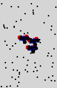 Cc1cc(-c2nc(C(=O)N3CCC3)cn2Cc2ccccc2)cn(C)c1=O.Cc1cc(-c2nc(C(=O)N3CCCC3)cn2Cc2ccccc2)cn(C)c1=O.Cc1cc(-c2nc(C(=O)N3CCOCC3)cn2Cc2ccccc2)cn(C)c1=O